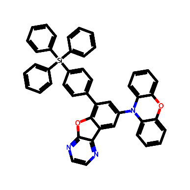 c1ccc([Si](c2ccccc2)(c2ccccc2)c2ccc(-c3cc(N4c5ccccc5Oc5ccccc54)cc4c3oc3nccnc34)cc2)cc1